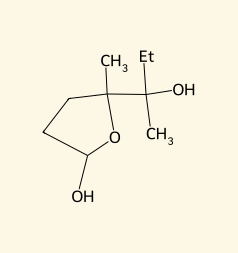 CCC(C)(O)C1(C)CCC(O)O1